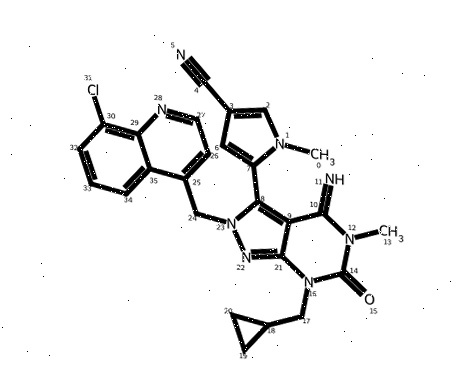 Cn1cc(C#N)cc1-c1c2c(=N)n(C)c(=O)n(CC3CC3)c2nn1Cc1ccnc2c(Cl)cccc12